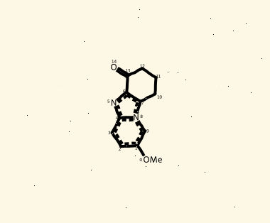 COc1ccc2nc3c(n2c1)CCCC3=O